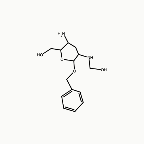 NC1CC(NCO)C(OCc2ccccc2)OC1CO